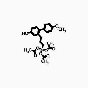 COc1ccc(-c2ccc(O)cc2CCC[Si](OC(C)=O)(OC(C)=O)OC(C)=O)cc1